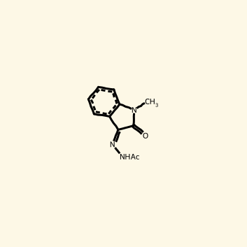 CC(=O)N/N=C1\C(=O)N(C)c2ccccc21